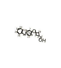 OC[C@H]1C[C@H](Oc2cc[n+](Cc3ccccc3)cc2)C1